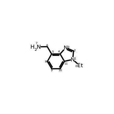 CCn1cnc2c(CN)cccc21